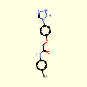 CC(C)(C)c1ccc(NC(=O)COc2ccc(N3C=NNN3)cc2)cc1